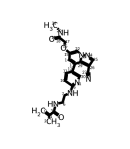 C=C(C)C(=O)NCCNc1ccc(-c2cc(OCC(=O)NC)cn3ncc(C#N)c23)cn1